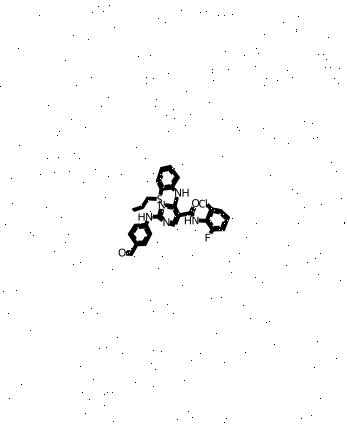 CCCSc1ccccc1Nc1nc(Nc2ccc(C=O)cc2)ncc1C(=O)Nc1c(F)cccc1Cl